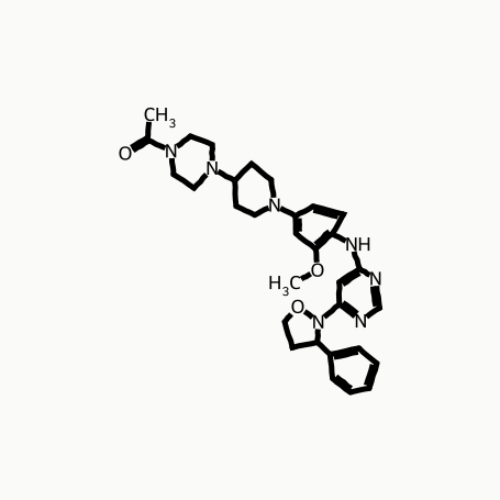 COc1cc(N2CCC(N3CCN(C(C)=O)CC3)CC2)ccc1Nc1cc(N2OCCC2c2ccccc2)ncn1